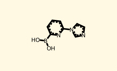 OB(O)c1cccc(-n2ccnc2)n1